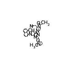 C=CC(=O)N1CCN(c2nc(COC3CCCN3C)nc3c2CCN(c2cccc4cccc(C)c24)C3)CC1CC#N